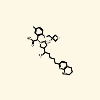 CC1(COc2ccc(F)cc2[C@H](C(=O)O)N2CCC(C(P)CCCCc3ccc4c(n3)NCCC4)C2)COC1